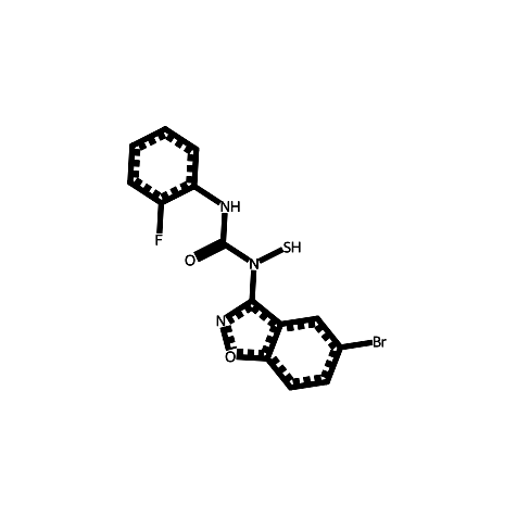 O=C(Nc1ccccc1F)N(S)c1noc2ccc(Br)cc12